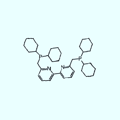 c1cc(CP(C2CCCCC2)C2CCCCC2)nc(-c2cccc(CP(C3CCCCC3)C3CCCCC3)n2)c1